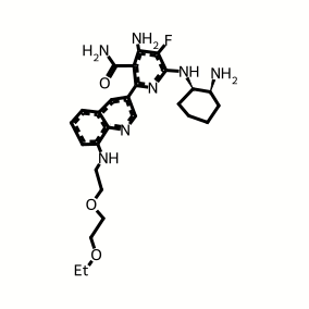 CCOCCOCCNc1cccc2cc(-c3nc(N[C@@H]4CCCC[C@@H]4N)c(F)c(N)c3C(N)=O)cnc12